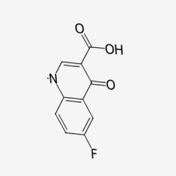 O=C(O)C1=C[N]c2ccc(F)cc2C1=O